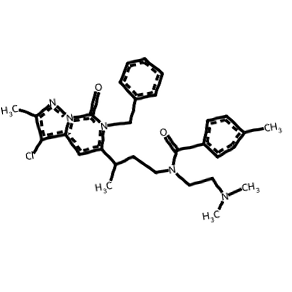 Cc1ccc(C(=O)N(CCC(C)c2cc3c(Cl)c(C)nn3c(=O)n2Cc2ccccc2)CCN(C)C)cc1